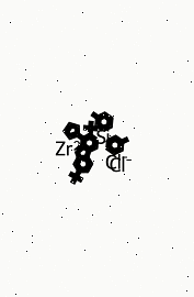 Cc1cccc([Si](c2cccc(C)c2)=c2cc3c(c(C4=CC=CC4)c2C(C)(C)C)=[C]([Zr+2])c2cc(C(C)(C)C)ccc2-3)c1.[Cl-].[Cl-]